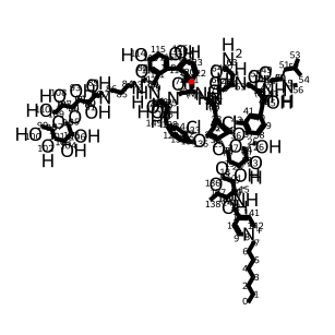 CCCCCCCC[n+]1ccc(CN[C@]2(C)C[C@H](OC3C(O)[C@@H](O)[C@@H](CO)O[C@@H]3Oc3c4cc5cc3Oc3ccc(cc3Cl)[C@@H](O)[C@@H](NC(=O)[C@@H](CC(C)C)NC)C(=O)N[C@@H](CC(N)=O)C(=O)N[C@H]5C(=O)N[C@H]3C(=O)N[C@H](C(=O)N[C@H](C(=O)NCCCNC(=O)[C@H](O)[C@@H](O)[C@H](OC5OC(CO)C(O)C(O)C5O)[C@H](O)CO)c5cc(O)cc(O)c5-c5cc3ccc5O)[C@H](O)c3ccc(c(Cl)c3)O4)OC(C)[C@@H]2O)cc1